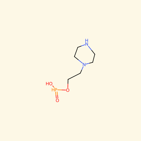 O=[PH](O)OCCN1CCNCC1